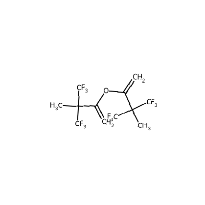 C=C(OC(=C)C(C)(C(F)(F)F)C(F)(F)F)C(C)(C(F)(F)F)C(F)(F)F